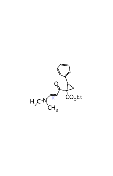 CCOC(=O)C1(C(=O)/C=C/N(C)C)CC1c1ccccc1